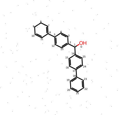 OC(c1ccc(C2=CCCC=C2)cc1)c1ccc(-c2ccccc2)cc1